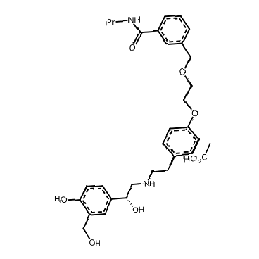 CC(=O)O.CC(C)NC(=O)c1cccc(COCCOc2ccc(CCNC[C@H](O)c3ccc(O)c(CO)c3)cc2)c1